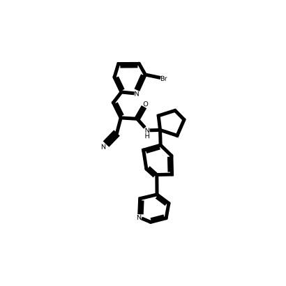 N#CC(=Cc1cccc(Br)n1)C(=O)NC1(c2ccc(-c3cccnc3)cc2)CCCC1